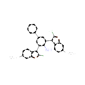 COc1ccc2c(-c3cc(-c4ccccc4)cc(-c4c(Cl)sc5cc(OC)ccc45)c3N)c(Cl)sc2c1